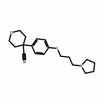 N#CC1(c2ccc(SCCCN3CCCC3)cc2)CCOCC1